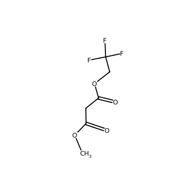 COC(=O)CC(=O)OCC(F)(F)F